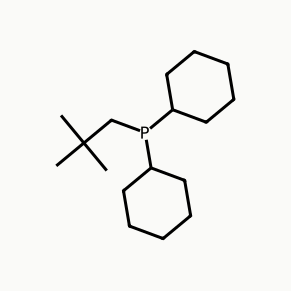 CC(C)(C)CP(C1CCCCC1)C1CCCCC1